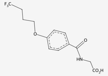 O=C(O)CNC(=O)c1ccc(OCCCC(F)(F)F)cc1